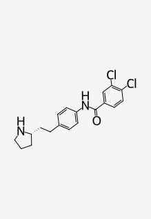 O=C(Nc1ccc(CC[C@@H]2CCCN2)cc1)c1ccc(Cl)c(Cl)c1